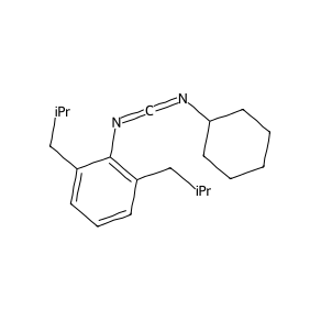 CC(C)Cc1cccc(CC(C)C)c1N=C=NC1CCCCC1